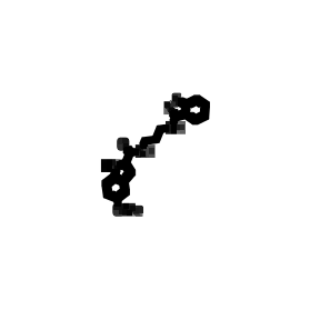 COc1ccc2[nH]c(C(=O)NCCCNc3nsc4ccccc34)cc2c1